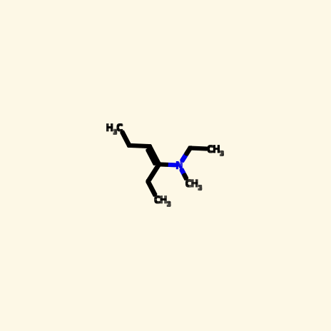 CC/C=C(\CC)N(C)CC